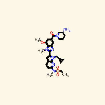 CCS(=O)(=O)N(C)c1ccc2cc(-c3nc4cc(C(=O)N5CCC[C@@H](N)C5)cc(OC)c4n3C)n(CC3CC3)c2n1